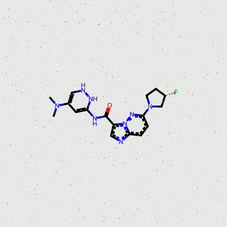 CN(C)C1=CNNC(NC(=O)c2cnc3ccc(N4CC[C@H](F)C4)nn23)=C1